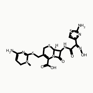 CN1CC=C(N)N=C1SCC1=C(C(=O)O)N2C(=O)C(NC(=O)/C(=N\O)c3csc(N)n3)[C@@H]2SC1